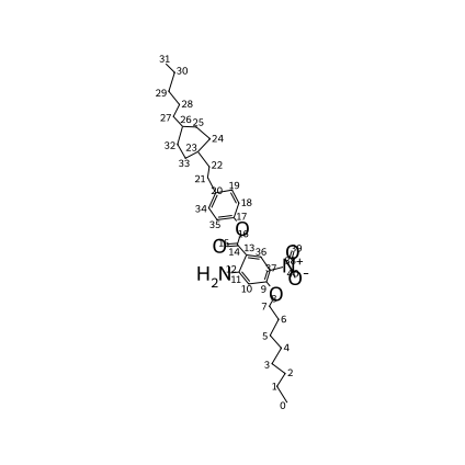 CCCCCCCCOc1cc(N)c(C(=O)Oc2ccc(CCC3CCC(CCCCC)CC3)cc2)cc1[N+](=O)[O-]